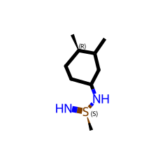 CC1CC(N[S@@](C)=N)CC[C@H]1C